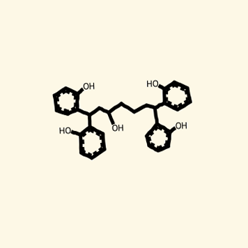 Oc1ccccc1C(CCCC(O)CC(c1ccccc1O)c1ccccc1O)c1ccccc1O